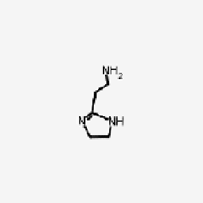 NCCC1=NCCN1